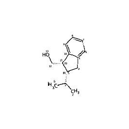 CC(C)[C@H]1Cc2ccccc2[C@H]1CO